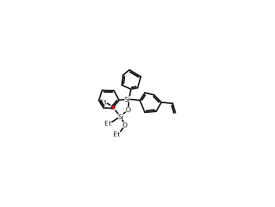 C=Cc1ccc([Si](O[Si](CC)(OCC)OCC)(c2ccccc2)c2ccccc2)cc1